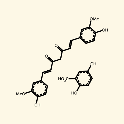 COc1cc(/C=C/C(=O)CC(=O)/C=C/c2ccc(O)c(OC)c2)ccc1O.O=C(O)c1cc(O)ccc1O